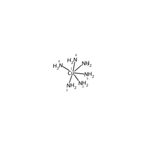 [NH2][Cu]([NH2])([NH2])([NH2])([NH2])[NH2]